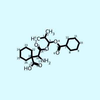 CC(C)C(OC(=O)C1CCCCC1)OC(=O)C(N)C1(C(=O)O)CCCCC1